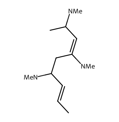 CC=CC(CC(=CC(C)NC)NC)NC